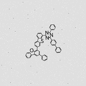 c1ccc(-c2ccc(-c3nc(-c4ccccc4)nc(-c4cccc5c4sc4cc(-c6cc(-c7ccccc7)cc7c6oc6ccccc67)ccc45)n3)cc2)cc1